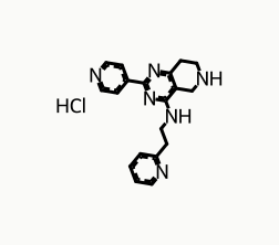 Cl.c1ccc(CCNc2nc(-c3ccncc3)nc3c2CNCC3)nc1